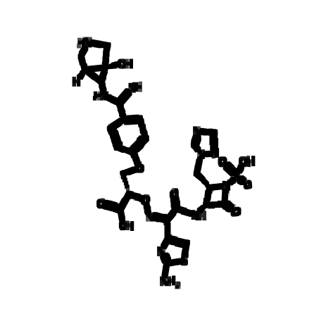 N=C(NC1[C@@H]2CNC[C@]12O)c1ccc(OC[C@H](O/N=C(\C(=O)N[C@@H]2C(=O)N(S(=O)(=O)O)[C@@H]2Cn2cncn2)c2csc(N)n2)C(=O)O)cc1